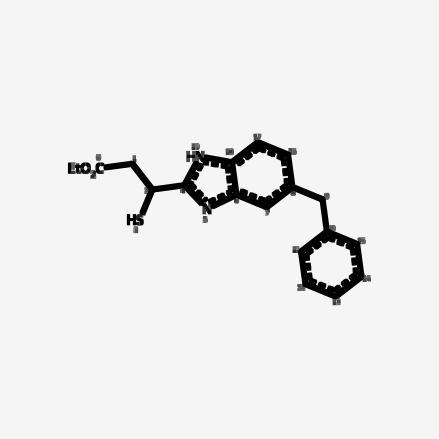 CCOC(=O)CC(S)c1nc2cc(Cc3ccccc3)ccc2[nH]1